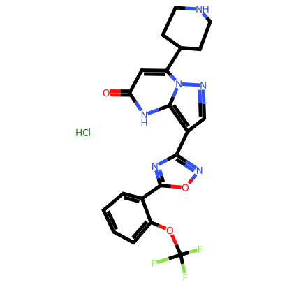 Cl.O=c1cc(C2CCNCC2)n2ncc(-c3noc(-c4ccccc4OC(F)(F)F)n3)c2[nH]1